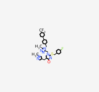 Cc1nnc(Cn2cc(Cc3cnn(C)c3)c(=O)nc2SCc2ccc(F)cc2)n1Cc1ccc(-c2ccc(C(F)(F)F)cc2)cc1